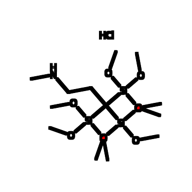 CNCCC([Si](OC)(OC)OC)([Si](OC)(OC)OC)[Si](OC)(OC)OC.Cl